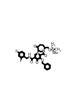 CC(C)(C)[Si](C)(C)OCC1CCC(=O)C2CN1C(=O)c1c(OCc3ccccc3)c(=O)c(C(=O)NCc3ccc(F)cc3F)cn12